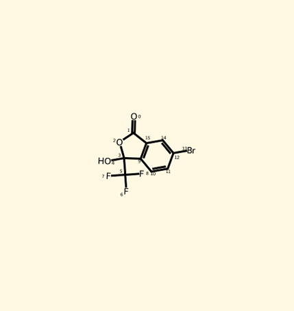 O=C1OC(O)(C(F)(F)F)c2ccc(Br)cc21